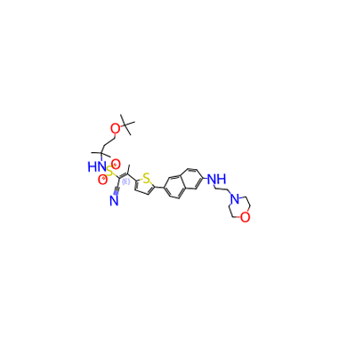 C/C(=C(/C#N)S(=O)(=O)NC(C)(C)CCOC(C)(C)C)c1ccc(-c2ccc3cc(NCCN4CCOCC4)ccc3c2)s1